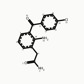 NC(=O)Cc1cccc(C(=O)c2ccc(Cl)cc2)c1N